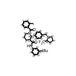 Cc1ccccc1C(=O)N1CCCC(C(=O)Nc2cccc(C(C)(C)C)c2)[C@@H]1c1ccc(CN2CCCC2C(F)(F)F)cc1